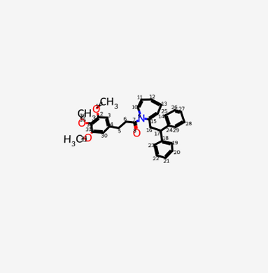 COc1cc(CCC(=O)N2C=CC=CC=C2CC(c2ccccc2)c2ccccc2)cc(OC)c1OC